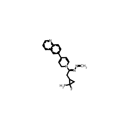 C=N/N=C(/CC1CC1(F)P)N1C=CC(c2ccc3ncccc3c2)=CC1